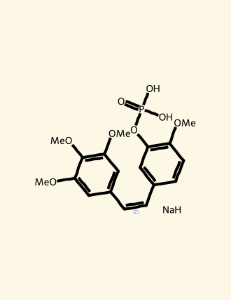 COc1ccc(/C=C\c2cc(OC)c(OC)c(OC)c2)cc1OP(=O)(O)O.[NaH]